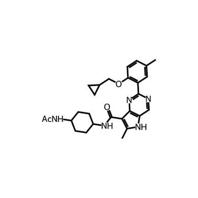 CC(=O)NC1CCC(NC(=O)c2c(C)[nH]c3cnc(-c4cc(C)ccc4OCC4CC4)nc23)CC1